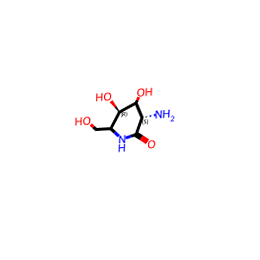 N[C@@H]1C(=O)NC(CO)[C@@H](O)C1O